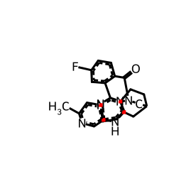 Cc1cnc(NC2CC3CCC2N(C(=O)c2ccc(F)cc2-c2ncccn2)C3)cn1